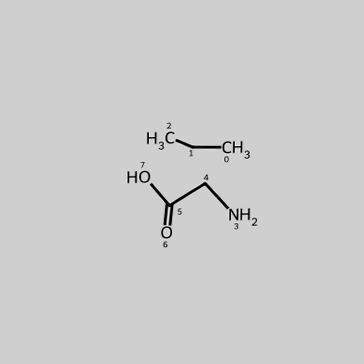 CCC.NCC(=O)O